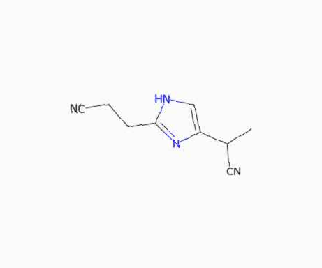 CC(C#N)c1c[nH]c(CCC#N)n1